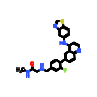 CNC(=O)CNCc1ccc(-c2ccc3nccc(Nc4ccc5scnc5c4)c3c2)c(F)c1